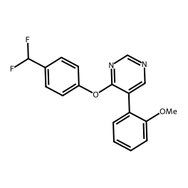 COc1ccccc1-c1cncnc1Oc1ccc(C(F)F)cc1